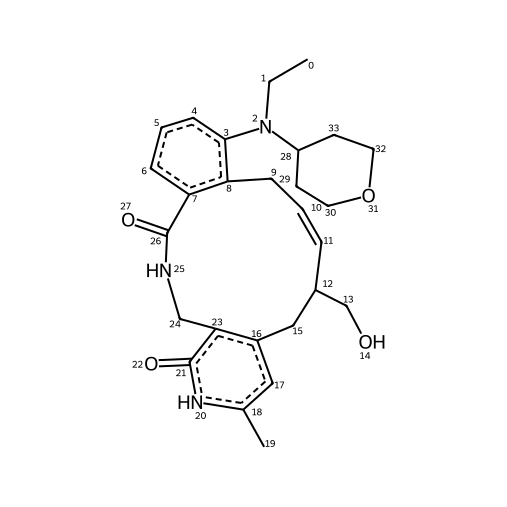 CCN(c1cccc2c1CC=CC(CO)Cc1cc(C)[nH]c(=O)c1CNC2=O)C1CCOCC1